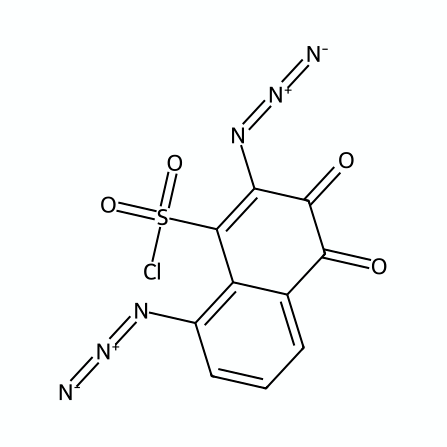 [N-]=[N+]=NC1=C(S(=O)(=O)Cl)c2c(N=[N+]=[N-])cccc2C(=O)C1=O